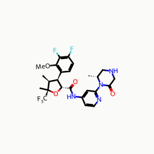 COc1c([C@H]2[C@H](C(=O)Nc3ccnc(N4C(=O)CNC[C@H]4C)c3)O[C@@](C)(C(F)(F)F)[C@H]2C)ccc(F)c1F